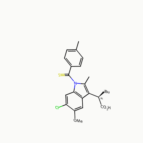 CCC(C)[C@@H](C(=O)O)c1c(C)n(C(=S)c2ccc(C)cc2)c2cc(Cl)c(OC)cc12